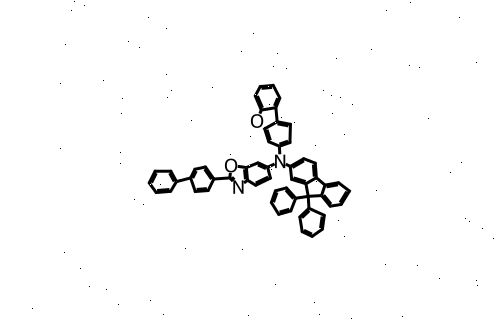 c1ccc(-c2ccc(-c3nc4ccc(N(c5ccc6c(c5)C(c5ccccc5)(c5ccccc5)c5ccccc5-6)c5ccc6c(c5)oc5ccccc56)cc4o3)cc2)cc1